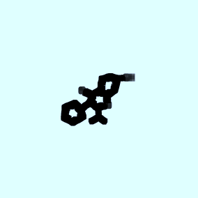 CC(C)c1oc2cc(O)ccc2c(=O)c1-c1ccccc1